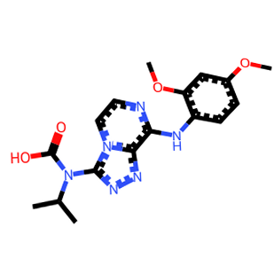 COc1ccc(Nc2nccn3c(N(C(=O)O)C(C)C)nnc23)c(OC)c1